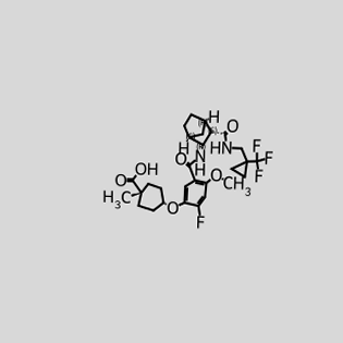 COc1cc(F)c(O[C@H]2CC[C@@](C)(C(=O)O)CC2)cc1C(=O)N[C@@H]1[C@H]2CC[C@H](C2)[C@@H]1C(=O)NCC1(C(F)(F)F)CC1